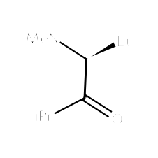 CC[C@H](NC)C(=O)C(C)C